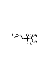 CCCC(C)(C)C(O)O